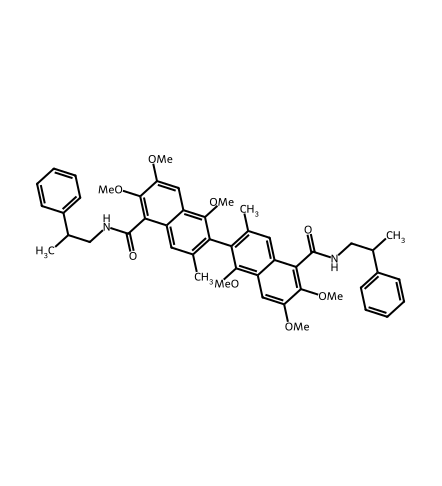 COc1cc2c(OC)c(-c3c(C)cc4c(C(=O)NCC(C)c5ccccc5)c(OC)c(OC)cc4c3OC)c(C)cc2c(C(=O)NCC(C)c2ccccc2)c1OC